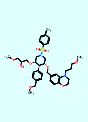 COCCCN1CCOc2ccc(CO[C@H]3CN(S(=O)(=O)c4ccc(C)cc4)C[C@@H](OCC(O)COC)[C@@H]3c3ccc(COC)cc3)cc21